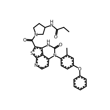 CCC(=O)NC1CCN(C(=O)c2sc3nccc4c3c2NC(=O)N4c2ccc(Oc3ccccc3)cc2C)C1